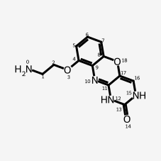 NCCOc1cccc2c1N=C1NC(=O)NC=C1O2